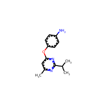 Cc1cc(Oc2ccc(N)cc2)nc(C(C)C)n1